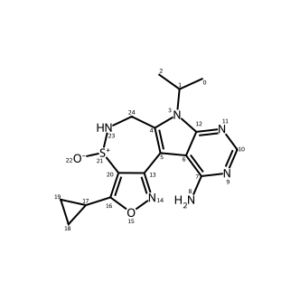 CC(C)n1c2c(c3c(N)ncnc31)-c1noc(C3CC3)c1[S+]([O-])NC2